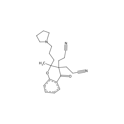 CC1(CCCN2CCCC2)Oc2ccccc2C(=O)C1(CCC#N)CCC#N